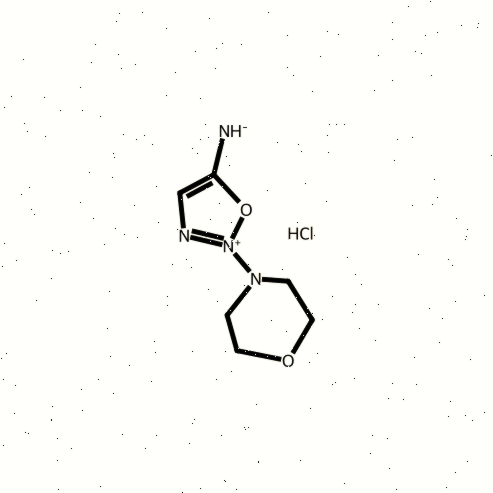 Cl.[NH-]c1cn[n+](N2CCOCC2)o1